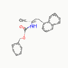 O=[C][C@H](Cc1cccc2ccccc12)NC(=O)OCc1ccccc1